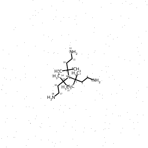 CC(C)(CCN)N(C(C)(C)CCN)C(C)(C)CCN